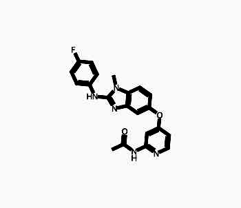 CC(=O)Nc1cc(Oc2ccc3c(c2)nc(Nc2ccc(F)cc2)n3C)ccn1